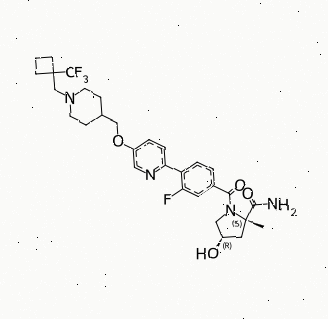 C[C@@]1(C(N)=O)C[C@@H](O)CN1C(=O)c1ccc(-c2ccc(OCC3CCN(CC4(C(F)(F)F)CCC4)CC3)cn2)c(F)c1